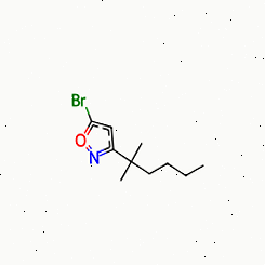 CCCCC(C)(C)c1cc(Br)on1